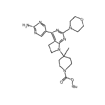 CC(C)(C)OC(=O)N1CCC(C)(N2CCc3c(-c4cnc(N)nc4)nc(N4CCOCC4)nc32)CC1